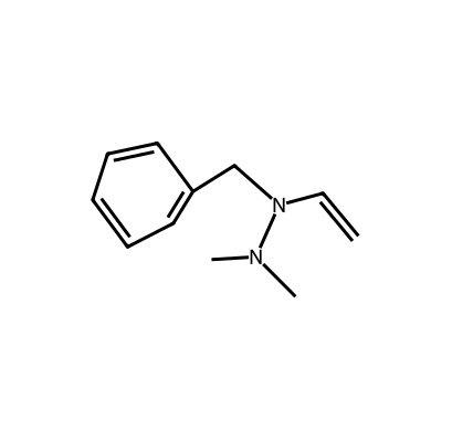 C=CN(Cc1ccccc1)N(C)C